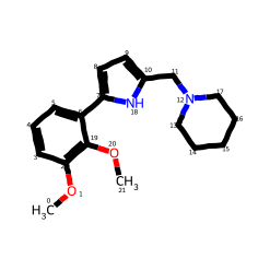 COc1cccc(-c2ccc(CN3CCCCC3)[nH]2)c1OC